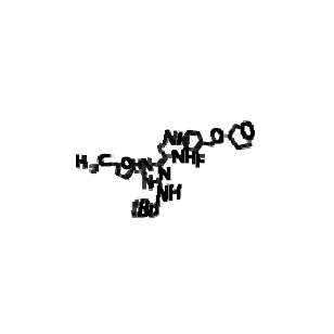 Cc1ccc(C2=NC(NC(C)(C)C)=N/C(=C(/C=N)Nc3cccc(CO[C@H]4CCOC4)c3F)N2)o1